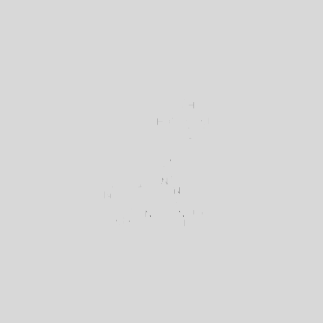 CC(C)Nc1nn(COCC[Si](C)(C)C)c2cc(Br)c(Cl)nc12